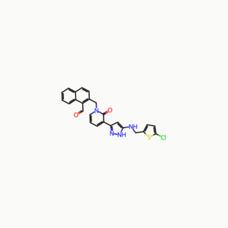 O=Cc1c(Cn2cccc(-c3cc(NCc4ccc(Cl)s4)[nH]n3)c2=O)ccc2ccccc12